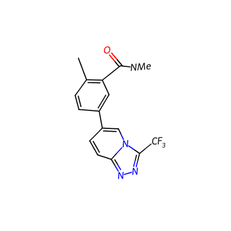 CNC(=O)c1cc(-c2ccc3nnc(C(F)(F)F)n3c2)ccc1C